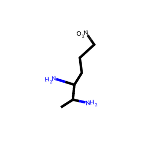 CC(N)C(N)CCC[N+](=O)[O-]